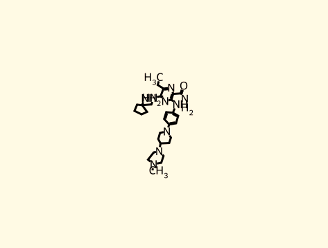 CCc1nc(C(N)=O)c(Nc2ccc(N3CCC(N4CCN(C)CC4)CC3)cc2)nc1NCC1(N)CCCC1